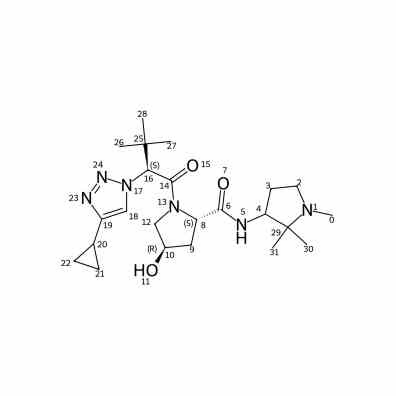 CN1CCC(NC(=O)[C@@H]2C[C@@H](O)CN2C(=O)[C@@H](n2cc(C3CC3)nn2)C(C)(C)C)C1(C)C